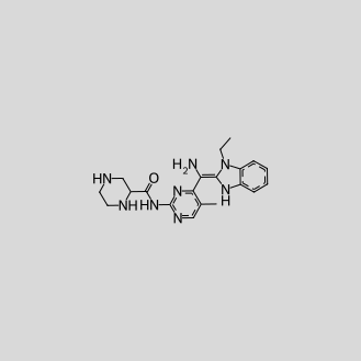 CCN1/C(=C(\N)c2nc(NC(=O)C3CNCCN3)ncc2C)Nc2ccccc21